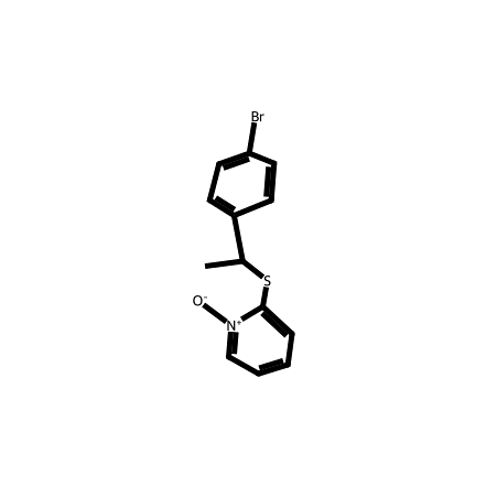 CC(Sc1cccc[n+]1[O-])c1ccc(Br)cc1